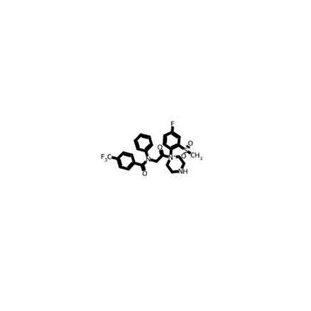 CS(=O)(=O)c1cc(F)ccc1[N+]1(C(=O)CN(C(=O)c2ccc(C(F)(F)F)cc2)c2ccccc2)CCNCC1